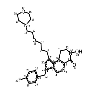 O=C1c2ncc3c(c(CCCOCCN4CCOCC4)cn3Cc3ccc(F)cc3)c2CCN1O